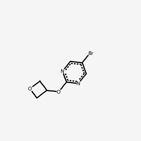 Brc1cnc(OC2COC2)nc1